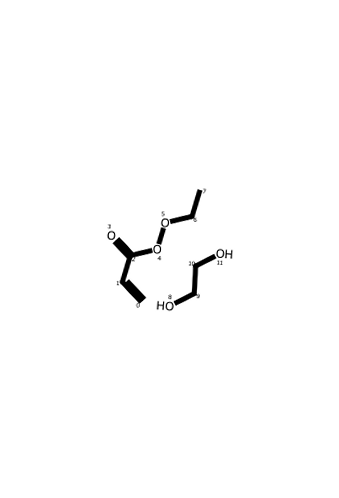 C=CC(=O)OOCC.OCCO